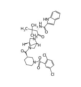 CC(C)(C)[C@H](NC(=O)c1cc2ccccc2[nH]1)C(=O)N1C[C@@H]2C[C@H]1CN2C(=O)[C@@H]1CCCN(S(=O)(=O)c2cc(Cl)ccc2Cl)C1